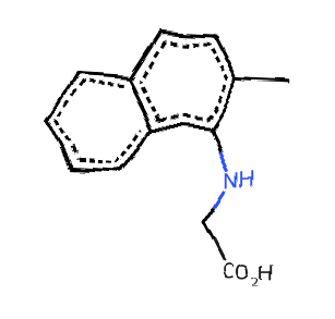 Cc1ccc2ccccc2c1NCC(=O)O